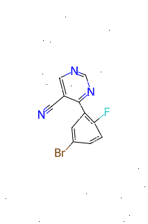 N#Cc1cncnc1-c1cc(Br)ccc1F